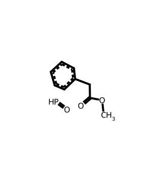 COC(=O)Cc1ccccc1.O=P